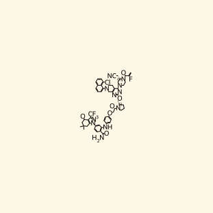 C=C(F)C(=O)N1CCN(c2nc(OC[C@@H]3CCCN3C(=O)COc3ccc(Nc4cc(-n5nc(C(F)(F)F)c6c5CC(C)(C)CC6=O)ccc4C(N)=O)cc3)nc3c2CCN(c2cccc4cccc(Cl)c24)C3)C[C@@H]1CC#N